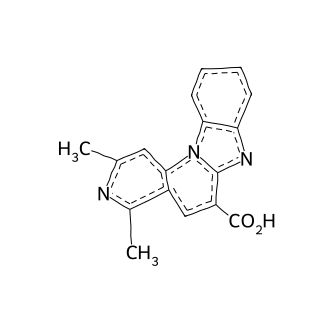 Cc1cc2c(cc(C(=O)O)c3nc4ccccc4n32)c(C)n1